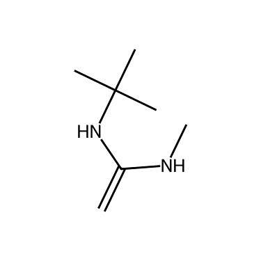 C=C(NC)NC(C)(C)C